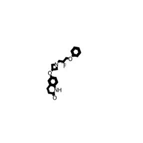 O=C1CCc2cc(OC3CN(C[C@@H](F)COc4ccccc4)C3)ccc2N1